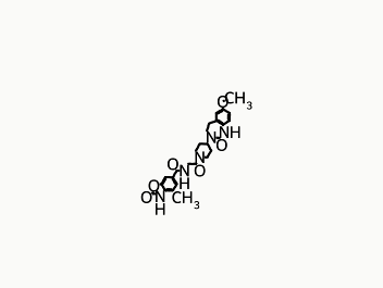 COc1ccc2c(c1)CCN(C1CCN(C(=O)CNC(=O)c3cc(C)c4[nH]c(=O)oc4c3)CC1)C(=O)N2